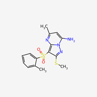 CSc1nn2c(N)cc(C)nc2c1S(=O)(=O)c1ccccc1C